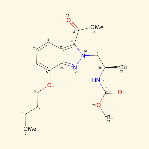 COCCCOc1cccc2c(C(=O)OC)n(C[C@H](NC(=O)OC(C)(C)C)C(C)(C)C)nc12